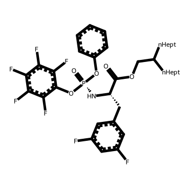 CCCCCCCC(CCCCCCC)COC(=O)[C@H](Cc1cc(F)cc(F)c1)N[P@](=O)(Oc1ccccc1)Oc1c(F)c(F)c(F)c(F)c1F